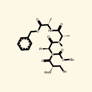 CN[C@@H](CC(C)C)C(=O)N(C(=O)OC(C)(C)C)[C@H](C(=O)N(C)[C@@H](C)C(=O)N[C@@H](C)C(=O)OCc1ccccc1)C(C)C